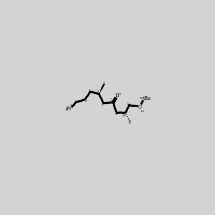 CC(C)CCC[C@@H](C)CC(=O)C[C@@H](C)COC(C)(C)C